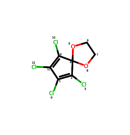 ClC1=C(Cl)C2(OCCO2)C(Cl)=C1Cl